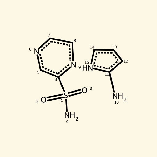 NS(=O)(=O)c1cnccn1.Nc1ccc[nH]1